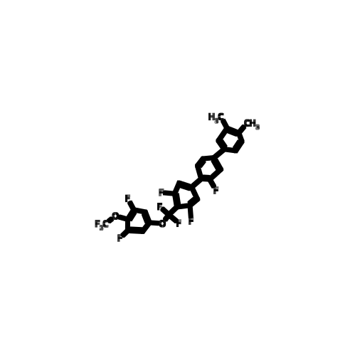 Cc1ccc(-c2ccc(-c3cc(F)c(C(F)(F)Oc4cc(F)c(OC(F)(F)F)c(F)c4)c(F)c3)c(F)c2)cc1C